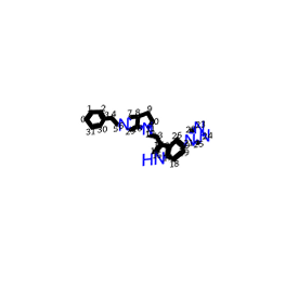 c1ccc(CCN2CC3CCN(CCc4c[nH]c5ccc(-n6cnnc6)cc45)C3C2)cc1